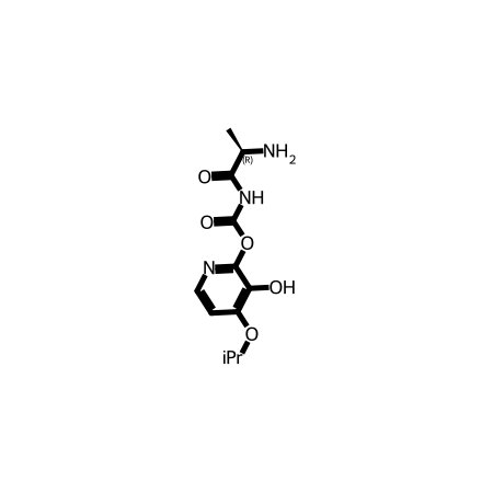 CC(C)Oc1ccnc(OC(=O)NC(=O)[C@@H](C)N)c1O